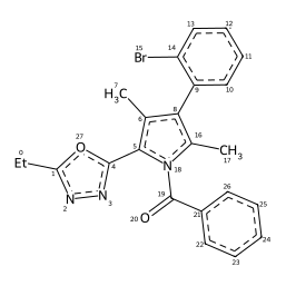 CCc1nnc(-c2c(C)c(-c3cc[c]cc3Br)c(C)n2C(=O)c2ccccc2)o1